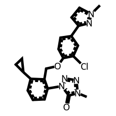 Cn1ccc(-c2ccc(OCc3c(C4CC4)cccc3-n3nnn(C)c3=O)c(Cl)c2)n1